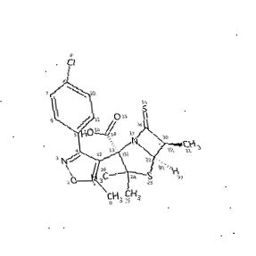 Cc1onc(-c2ccc(Cl)cc2)c1[C@@]1(C(=O)O)N2C(=S)[C@@H](C)[C@H]2SC1(C)C